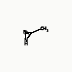 CC1=NN1